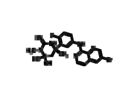 CN1C(=N)N[C@](C)(c2cc(Nc3nccc4cc(Br)cnc34)ccc2F)CS1(O)O